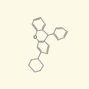 c1ccc(C2c3ccccc3Oc3cc(C4CCCCC4)ccc32)cc1